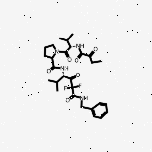 CCC(=O)C(=O)N[C@H](C(=O)N1CCCC1C(=O)N[C@H](C(=O)C(F)(F)C(=O)NCc1ccccc1)C(C)C)C(C)C